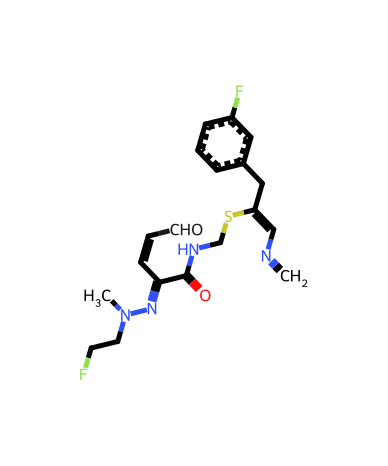 C=N/C=C(/Cc1cccc(F)c1)SCNC(=O)C(/C=C\C=O)=N/N(C)CCF